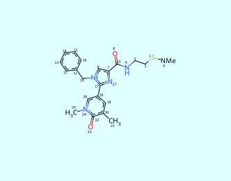 CNSCCNC(=O)c1cn(Cc2ccccc2)c(-c2cc(C)c(=O)n(C)c2)n1